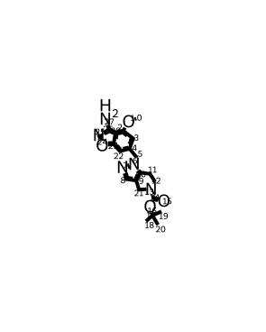 COc1cc(Cn2ncc3c2CCN(C(=O)OC(C)(C)C)C3)cc2onc(N)c12